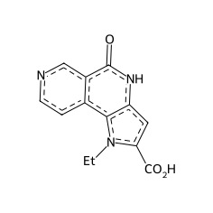 CCn1c(C(=O)O)cc2[nH]c(=O)c3cnccc3c21